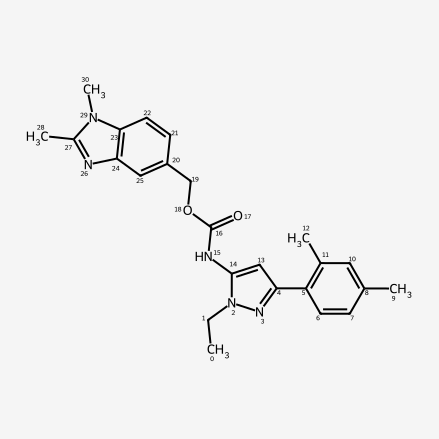 CCn1nc(-c2ccc(C)cc2C)cc1NC(=O)OCc1ccc2c(c1)nc(C)n2C